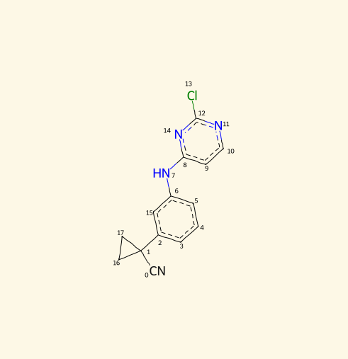 N#CC1(c2cccc(Nc3ccnc(Cl)n3)c2)CC1